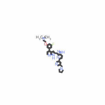 CN(C)CCOc1cc(F)cc(-c2ccnc3[nH]c(-c4n[nH]c5ccc(-c6cncc(CN7CCCC7)c6)nc45)cc23)c1